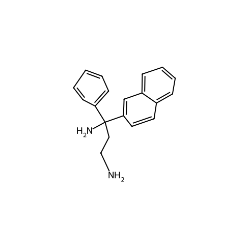 NCCC(N)(c1ccccc1)c1ccc2ccccc2c1